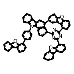 c1ccc(-c2nc(-c3cccc4c3oc3ccccc34)nc(-c3cccc4oc5ccc(-c6ccc7c(c6)c6ccccc6n7-c6ccc(-c7cccc8c7oc7ccccc78)cc6)cc5c34)n2)cc1